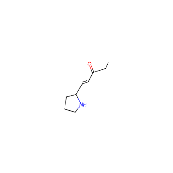 CCC(=O)/C=C/C1CCCN1